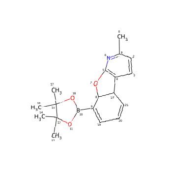 Cc1ccc2c(n1)OC1C(B3OC(C)(C)C(C)(C)O3)=CC=CC21